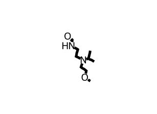 COCCN(CCNC=O)C(C)C